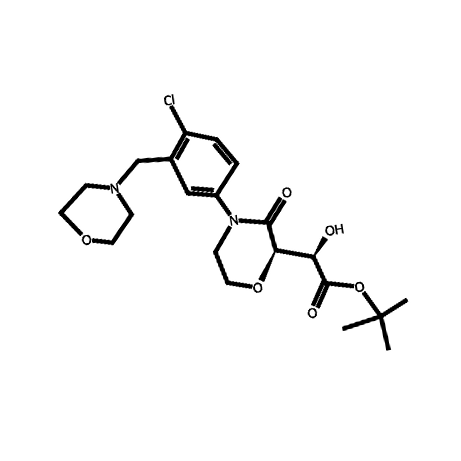 CC(C)(C)OC(=O)[C@H](O)[C@H]1OCCN(c2ccc(Cl)c(CN3CCOCC3)c2)C1=O